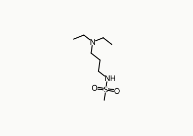 CCN(CC)CCCNS(C)(=O)=O